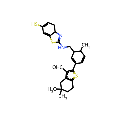 CC1C=CC(c2sc3c(c2C=O)CC(C)(C)CC3)=CC1CNC1=NC2CC=C(S)C=C2S1